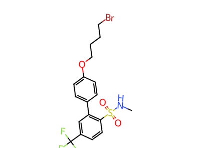 CNS(=O)(=O)c1ccc(C(F)(F)F)cc1-c1ccc(OCCCCBr)cc1